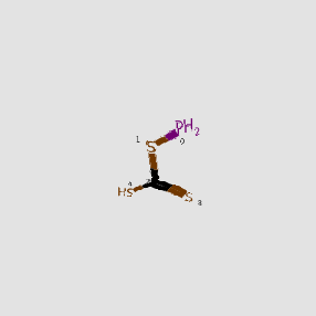 PSC(=S)S